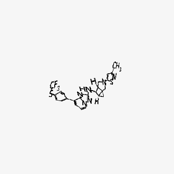 Cc1cc(N2C[C@H]3[C@H](Nc4nc5c(-c6ccc(SC(F)(F)F)cc6)cccn5n4)[C@@H]4CC34C2)sn1